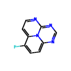 FC1=CC=C2N=CN=C3N=CC=C1N23